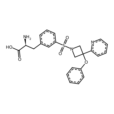 N[C@@H](Cc1cccc(S(=O)(=O)N2CC(Oc3ccccc3)(c3ccccn3)C2)c1)C(=O)O